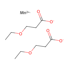 CCOCCC(=O)[O-].CCOCCC(=O)[O-].[Mn+2]